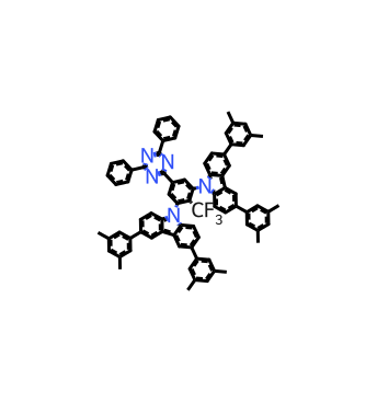 Cc1cc(C)cc(-c2ccc3c(c2)c2cc(-c4cc(C)cc(C)c4)ccc2n3-c2cc(-c3nc(-c4ccccc4)nc(-c4ccccc4)n3)cc(-n3c4ccc(-c5cc(C)cc(C)c5)cc4c4cc(-c5cc(C)cc(C)c5)ccc43)c2C(F)(F)F)c1